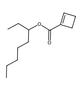 CCCCCC(CC)OC(=O)C1=CCC1